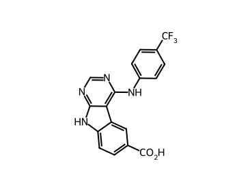 O=C(O)c1ccc2[nH]c3ncnc(Nc4ccc(C(F)(F)F)cc4)c3c2c1